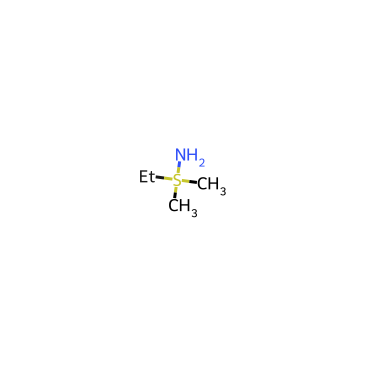 CCS(C)(C)N